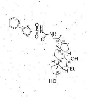 CC[C@H]1[C@@H](O)C2[C@@H]3CC[C@H]([C@H](C)CNC(=O)NS(=O)(=O)c4ccc(-c5ccccc5)s4)[C@@]3(C)CC[C@@H]2[C@@]2(C)CC[C@@H](O)C[C@@H]12